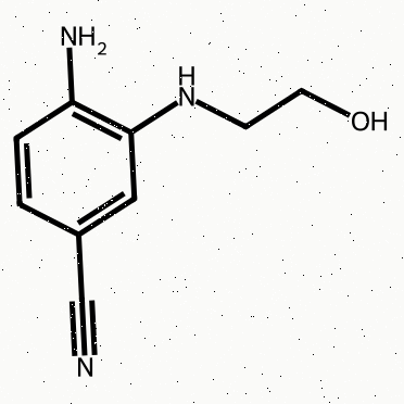 N#Cc1ccc(N)c(NCCO)c1